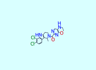 CC1c2c([nH]c3c(Cl)c(Cl)ccc23)CCN1C(=O)c1ncc2c(n1)OCCN2